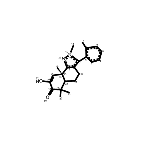 Cc1ccccc1-c1c2c(nn1C)[C@@]1(C)C=C(C#N)C(=O)C(C)(C)C1CC2